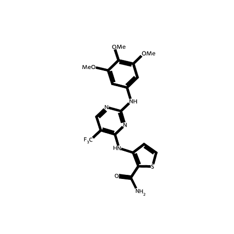 COc1cc(Nc2ncc(C(F)(F)F)c(Nc3ccsc3C(N)=O)n2)cc(OC)c1OC